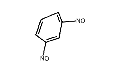 O=Nc1[c]ccc(N=O)c1